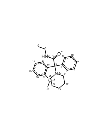 CCNC(=O)C(c1ccccc1)(c1ccccc1OC)N1CCCCC1